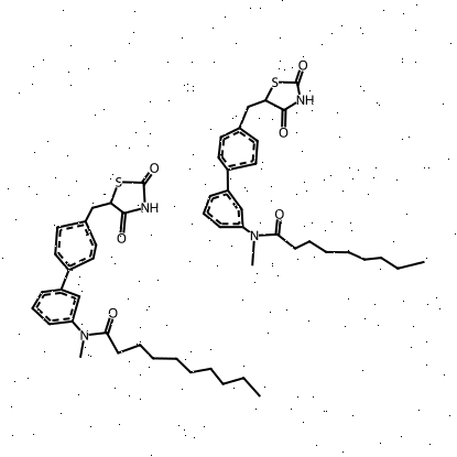 CCCCCCCCC(=O)N(C)c1cccc(-c2ccc(CC3SC(=O)NC3=O)cc2)c1.CCCCCCCCCC(=O)N(C)c1cccc(-c2ccc(CC3SC(=O)NC3=O)cc2)c1